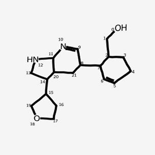 OCC1CCC=CC1C1C=NC2NCC(C3CCOC3)C2C1